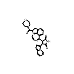 C[N+]12C=CN=C(C3=C(c4cnc5ccccn45)C(=O)NC3=O)c3cccc(c31)CC2C(=O)N1CCOCC1